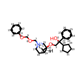 OC(CO[C@@H]1C[N+]2(COCOc3ccccc3)CCC1CC2)(c1ccccc1)C1CCCC1